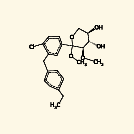 CCc1ccc(Cc2cc(C3(OC)OC[C@@H](O)[C@H](O)[C@H]3OC)ccc2Cl)cc1